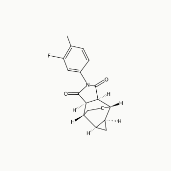 Cc1ccc(N2C(=O)[C@@H]3[C@@H]4CC[C@@H]([C@H]5C[C@H]54)[C@@H]3C2=O)cc1F